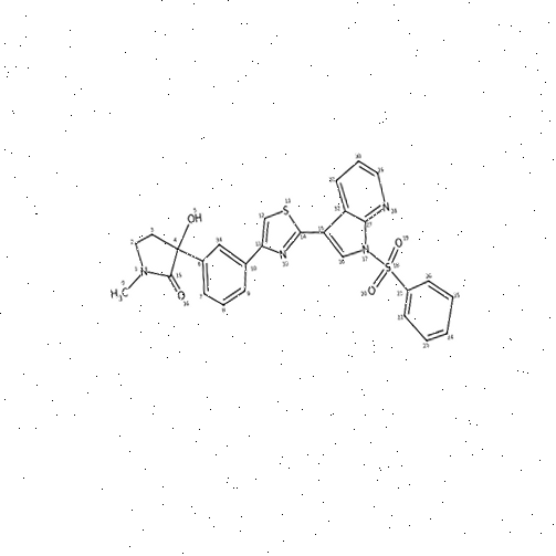 CN1CCC(O)(c2cccc(-c3csc(-c4cn(S(=O)(=O)c5ccccc5)c5ncccc45)n3)c2)C1=O